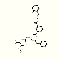 CCNC(=O)[C@@H](NC(=O)[C@H](C)NC[C@H](Cc1ccccc1)NC(=O)c1cccc(C(=O)NCCc2ccccc2Cl)c1)C(C)C